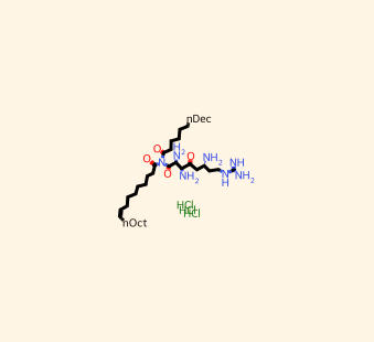 CCCCCCCC/C=C\CCCCCCCC(=O)N(C(=O)CCCCCCCCCCCCCCC)C(=O)C(N)C(N)C(=O)C[C@H](N)CCNC(=N)N.Cl.Cl.Cl